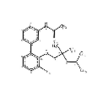 CC(=O)Nc1cc(-c2cccc(F)c2OCC(C)(N)CC(C)C)ccn1